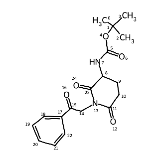 CC(C)(C)OC(=O)NC1CCC(=O)N(CC(=O)c2ccccc2)C1=O